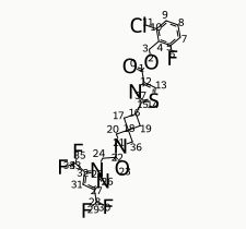 O=C(OCc1c(F)cccc1Cl)c1csc(C2CC3(C2)CN(C(=O)Cn2nc(C(F)F)cc2C(F)F)C3)n1